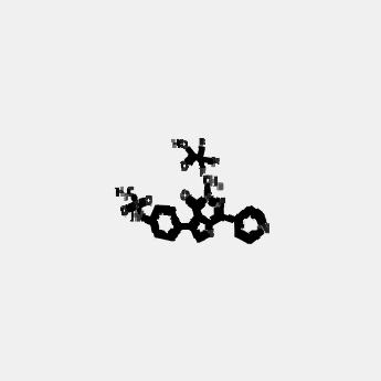 Cn1nc(-c2ccncc2)c2scc(-c3ccc(NS(C)(=O)=O)cc3)c2c1=O.O=C(O)C(F)(F)F